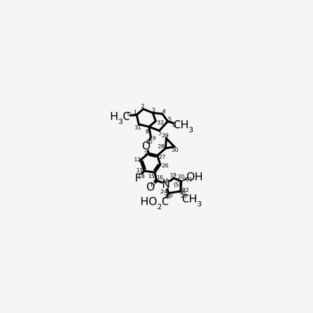 CC1CC2CC(C)CC(COc3cc(F)c(C(=O)N4C[C@@H](O)[C@H](C)[C@H]4C(=O)O)cc3C3CC3)(C1)C2